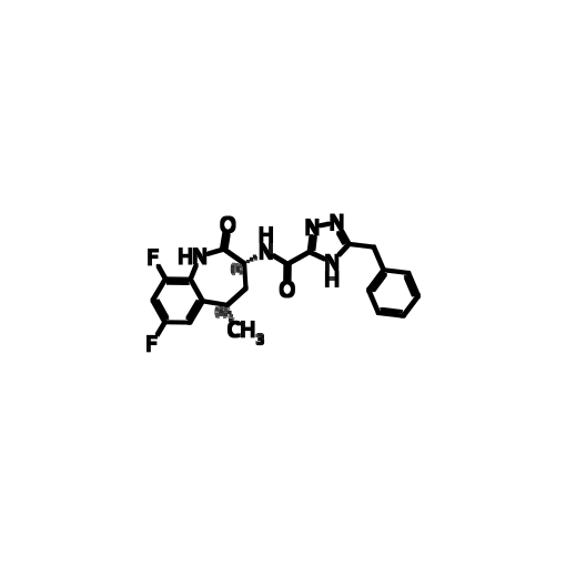 C[C@H]1C[C@@H](NC(=O)c2nnc(Cc3ccccc3)[nH]2)C(=O)Nc2c(F)cc(F)cc21